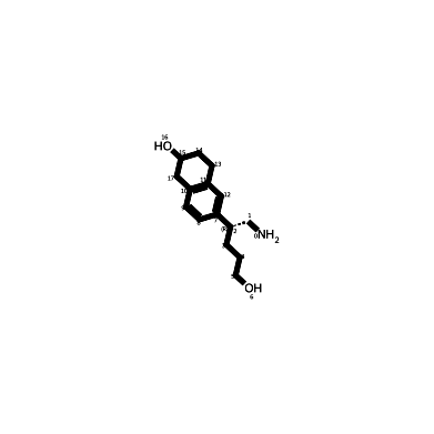 NC[C@H](CCCO)c1ccc2c(c1)CCC(O)C2